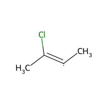 C/[C]=C(/C)Cl